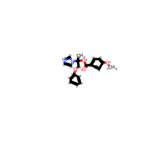 COc1ccc(C(=O)OC(C)(COc2ccccc2)n2ccnc2)cc1